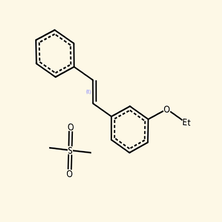 CCOc1cccc(/C=C/c2ccccc2)c1.CS(C)(=O)=O